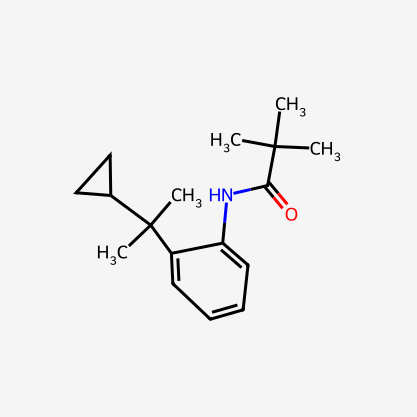 CC(C)(C)C(=O)Nc1ccccc1C(C)(C)C1CC1